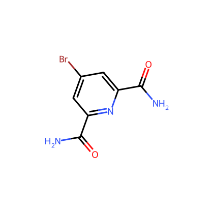 NC(=O)c1cc(Br)cc(C(N)=O)n1